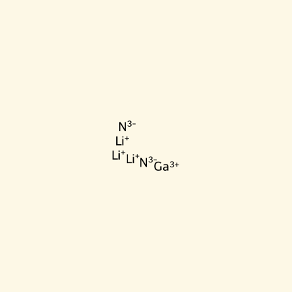 [Ga+3].[Li+].[Li+].[Li+].[N-3].[N-3]